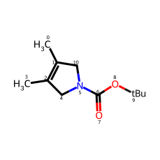 CC1=C(C)CN(C(=O)OC(C)(C)C)C1